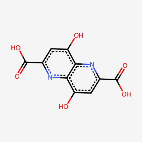 O=C(O)c1cc(O)c2nc(C(=O)O)cc(O)c2n1